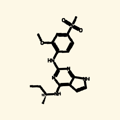 CC[C@@H](C)Nc1nc(Nc2ccc(S(C)(=O)=O)cc2OC)nc2[nH]ccc12